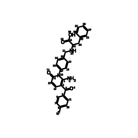 Nc1c(C(=O)c2ccc(F)cc2)ccc(=O)n1-c1ccc(CNC(Cc2ccccc2)C(=O)O)cc1